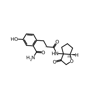 NC(=O)c1cc(O)ccc1C[CH]C(=O)NC12CCC[C@@H]1OCC2=O